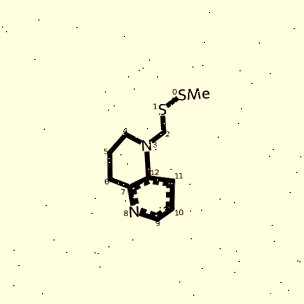 CSSCN1CCCc2ncccc21